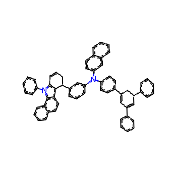 C1=Cc2c(c3ccc4ccccc4c3n2-c2ccccc2)C(c2cccc(N(c3ccc(C4=CC(c5ccccc5)=CC(c5ccccc5)C4)cc3)c3ccc4ccccc4c3)c2)C1